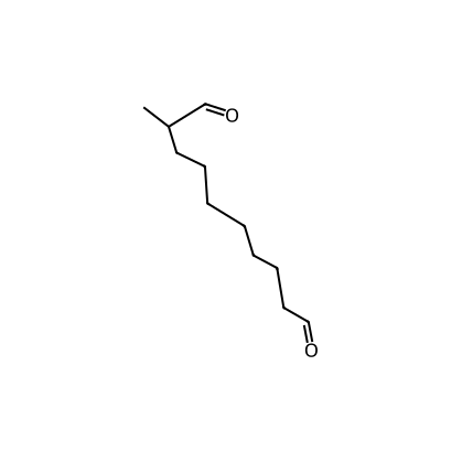 CC(C=O)CCCCCCCC=O